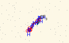 O=C1CCN(N2C(=O)c3ccc(N4CCC(N5CCC(CN6CCC(n7cc(NC(=O)c8coc(-c9ccnc(NCC(F)(F)F)c9)n8)c(C(F)F)n7)CC6)CC5)CC4)cc3C2=O)C(=O)N1